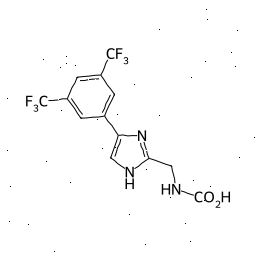 O=C(O)NCc1nc(-c2cc(C(F)(F)F)cc(C(F)(F)F)c2)c[nH]1